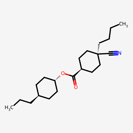 CCCC[C@]1(C#N)CC[C@@H](C(=O)O[C@H]2CC[C@H](CCC)CC2)CC1